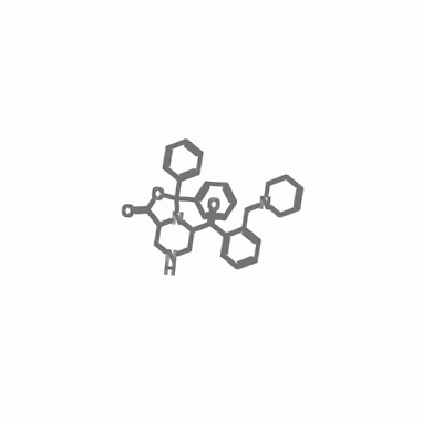 O=C1OC(c2ccccc2)(c2ccccc2)N2C1CNCC2C(=O)c1ccccc1CN1CC=CCC1